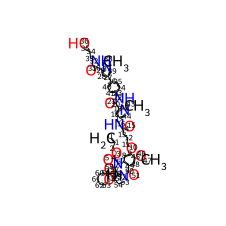 C=CCOC(=O)N1c2cc(OCCCC(=O)Nc3cc(C(=O)Nc4ccc(-c5cc(C(=O)NCCCO)n(C)c5)cc4)n(C)c3)c(OC)cc2C(=O)N2CCC[C@H]2C1OC1CCCCO1